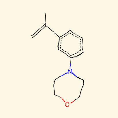 C=C(C)c1cccc(N2CCOCC2)c1